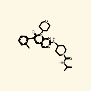 Cc1ccccc1-c1cc2cnc(NC3CCN(C(=S)NC(C)C)CC3)nc2n(C2CCOCC2)c1=O